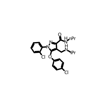 CCCNC(=O)c1nn(-c2ccccc2Cl)c(Oc2ccc(Cl)cc2)c1CNC(C)C